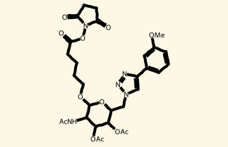 COc1cccc(-c2cn(CC3OC(OCCCCC(=O)ON4C(=O)CCC4=O)C(NC(C)=O)C(OC(C)=O)C3OC(C)=O)nn2)c1